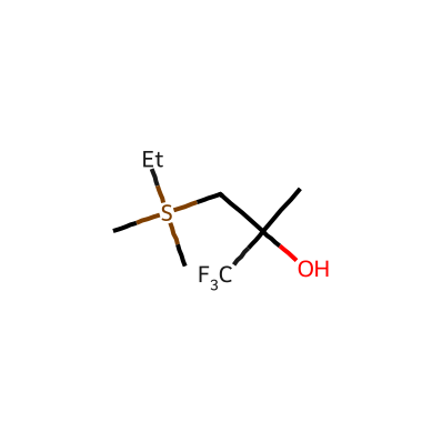 CCS(C)(C)CC(C)(O)C(F)(F)F